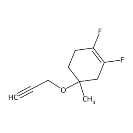 C#CCOC1(C)CCC(F)=C(F)C1